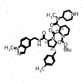 Cc1ccc(C[C@@H]2C[C@@H](C(=O)NCc3ccc4c(cnn4C)c3)N(C(=O)[C@H]3[C@@H](C(=O)N(C)C4CCNCC4)CCCN3C(=O)OC(C)(C)C)C2)cc1